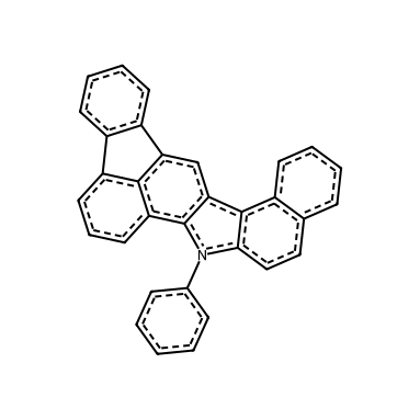 c1ccc(-n2c3ccc4ccccc4c3c3cc4c5c(cccc5c32)-c2ccccc2-4)cc1